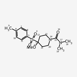 COC1(S(=O)(=O)c2ccc(C)cc2)CCN(C(=O)N(C)C)CC1